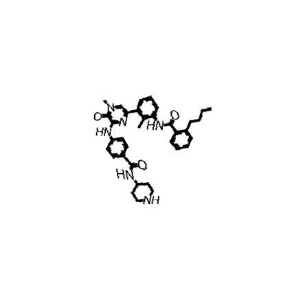 CCCCc1ccccc1C(=O)Nc1cccc(-c2cn(C)c(=O)c(Nc3ccc(C(=O)NC4CCNCC4)cc3)n2)c1C